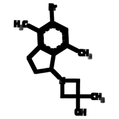 Cc1cc(Br)c(C)c2c1C(N1CC(C)(O)C1)CC2